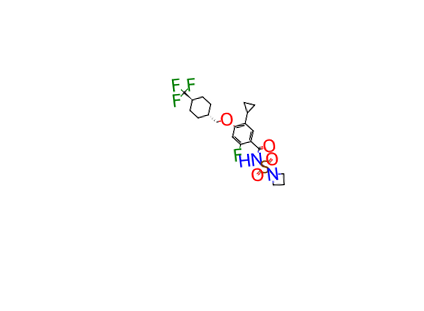 O=C(NS(=O)(=O)N1CCC1)c1cc(C2CC2)c(OC[C@H]2CC[C@H](C(F)(F)F)CC2)cc1F